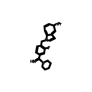 CCCC1C=CC=c2c(ccn2Cc2ccc(C(=N)N3CCCCC3)cc2F)=C1